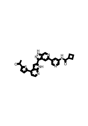 CC(=O)c1ccc(-c2ccnc3[nH]c(-c4n[nH]c5cnc(-c6cncc(NC(=O)C7CCC7)c6)cc45)cc23)s1